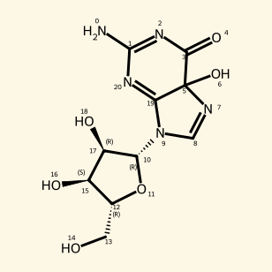 NC1=NC(=O)C2(O)N=CN([C@@H]3O[C@H](CO)[C@@H](O)[C@H]3O)C2=N1